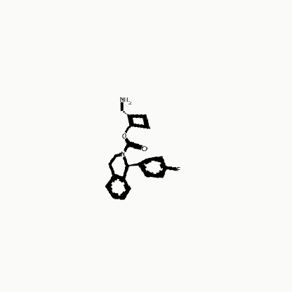 NC[C@@H]1CC[C@H]1OC(=O)N1CCc2ccccc2[C@@H]1c1ccc(F)cc1